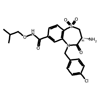 CC(C)CONC(=O)c1ccc2c(c1)N(Cc1ccc(Cl)cc1)C(=O)[C@@H](N)CS2(=O)=O